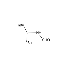 CCCCC(CCCC)NC=O